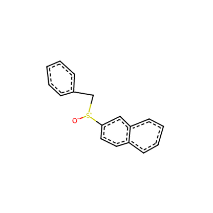 [O-][S+](Cc1ccccc1)c1ccc2ccccc2c1